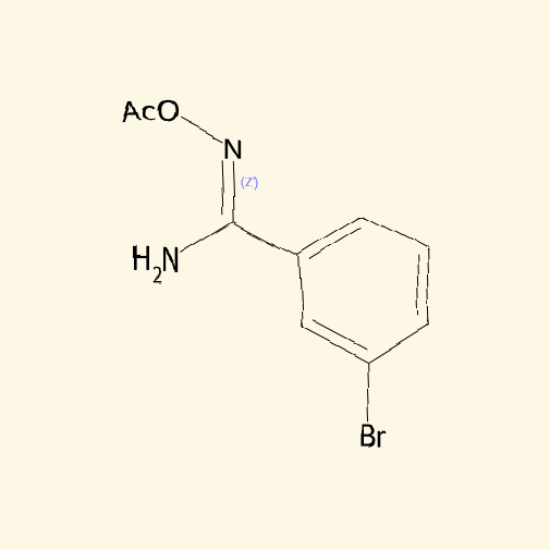 CC(=O)O/N=C(\N)c1cccc(Br)c1